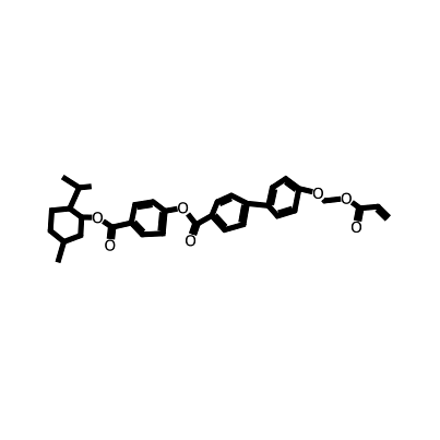 C=CC(=O)OCOc1ccc(-c2ccc(C(=O)Oc3ccc(C(=O)OC4CC(C)CCC4C(C)C)cc3)cc2)cc1